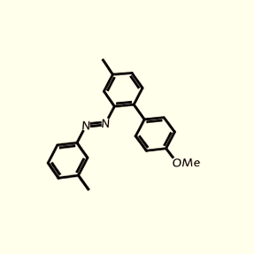 COc1ccc(-c2ccc(C)cc2N=Nc2cccc(C)c2)cc1